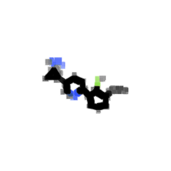 COc1cccc(-c2ccc([C@H]3C[C@@H]3N)cn2)c1F